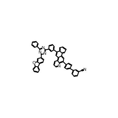 N#Cc1cccc(-c2ccc(-c3cc4c5ccccc5c(-c5cccc(-c6nc(-c7ccccc7)nc(-c7ccc8c(c7)oc7ccccc78)n6)c5)cc4c4cccnc34)cc2)c1